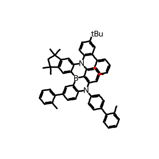 Cc1cc2c3c(c1)N(c1ccc(C(C)(C)C)cc1-c1ccccc1)c1cc4c(cc1B3c1cc(-c3ccccc3C)ccc1N2c1ccc(-c2ccccc2C)cc1)C(C)(C)CC4(C)C